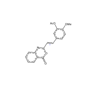 COc1ccc(/C=C/c2nc3ccccc3c(=O)o2)cc1OC(C)=O